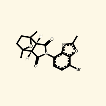 Cc1nc2c(N3C(=O)[C@@H]4[C@H](C3=O)C3(C)CCC4(C)O3)ccc(Br)c2o1